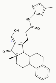 Cc1cnc(NC(=O)CC[C@@H]2/C(=C\O)C(=O)[C@@]3(C)CCC4c5ccccc5CCC4C23)s1